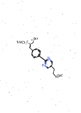 CCCCCCCCCCCCc1cnc(-c2ccc(C=C(C[C@H](C)CC)C(=O)O)cc2)nc1